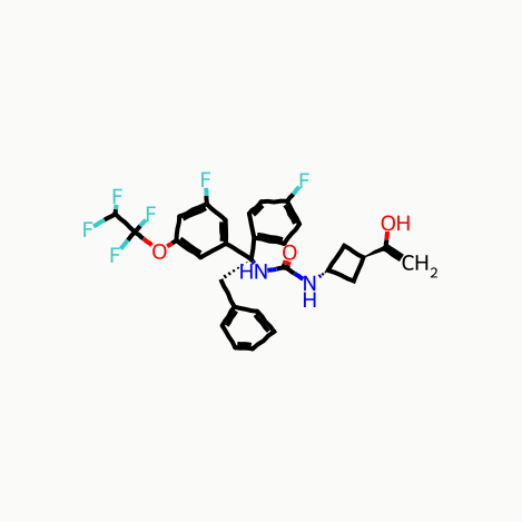 C=C(O)[C@H]1C[C@H](NC(=O)N[C@](Cc2ccccc2)(c2ccc(F)cc2)c2cc(F)cc(OC(F)(F)C(F)F)c2)C1